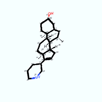 C[C@H]1CC2C[C@@H](O)CC[C@]2(C)[C@H]2CC[C@]3(C)C(C4CCCNC4)=CC[C@H]3[C@H]12